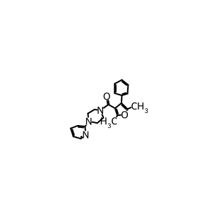 Cc1oc(C)c(-c2ccccc2)c1C(=O)N1CCN(c2ccccn2)CC1